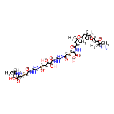 CC(C)(CCOC(C)(C)CCC(=O)NC(CSCC(=O)NCCNC(=O)[C@@H](O)[C@H](O)CC[S+]([O-])NCCNC(=O)CSCC(NC(C)(C)C)C(=O)O)C(=O)O)COCCC(=O)C(C)(C)N